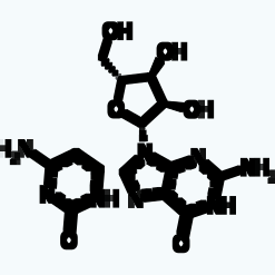 Nc1cc[nH]c(=O)n1.Nc1nc2c(ncn2[C@@H]2O[C@H](CO)[C@@H](O)[C@H]2O)c(=O)[nH]1